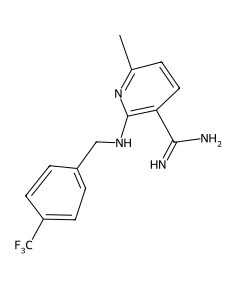 Cc1ccc(C(=N)N)c(NCc2ccc(C(F)(F)F)cc2)n1